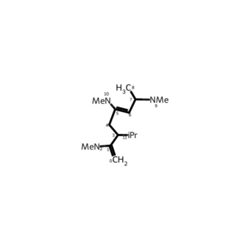 C=C(NC)C(CC(=CC(C)NC)NC)C(C)C